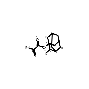 C=C(CC)C(=O)OC12CC3CC(CC(C3)C1C)C2